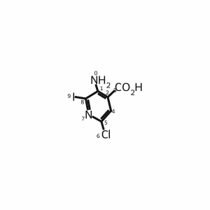 Nc1c(C(=O)O)cc(Cl)nc1I